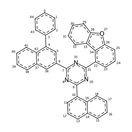 c1ccc(-c2cc(-c3nc(-c4cccc5ccccc45)nc(-c4cccc5oc6ccccc6c45)n3)cc3ccccc23)cc1